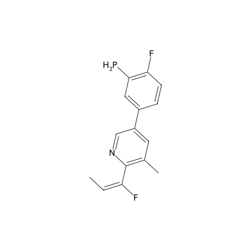 C/C=C(/F)c1ncc(-c2ccc(F)c(P)c2)cc1C